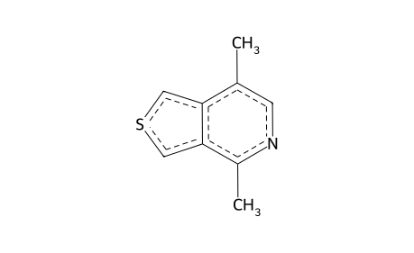 Cc1cnc(C)c2cscc12